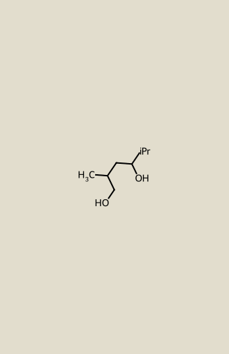 CC(CO)CC(O)C(C)C